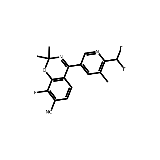 Cc1cc(C2=NC(C)(C)Oc3c2ccc(C#N)c3F)cnc1C(F)F